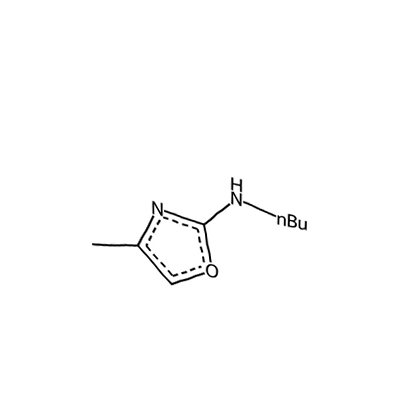 CCCCNc1nc(C)co1